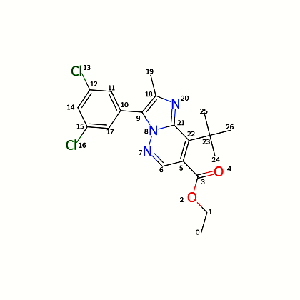 CCOC(=O)c1cnn2c(-c3cc(Cl)cc(Cl)c3)c(C)nc2c1C(C)(C)C